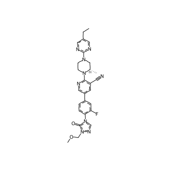 CCc1cnc(N2CCN(c3ncc(-c4ccc(-n5cnn(COC)c5=O)c(F)c4)cc3C#N)[C@@H](C)C2)nc1